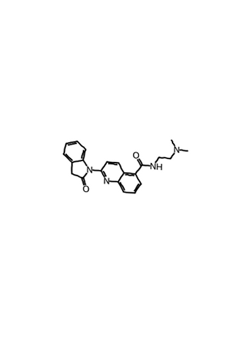 CN(C)CCNC(=O)c1cccc2nc(N3C(=O)Cc4ccccc43)ccc12